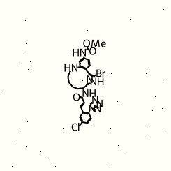 COC(=O)Nc1ccc2c(c1)NCCCCCC(NC(=O)/C=C/c1cc(Cl)ccc1-n1cnnn1)c1nc-2c(Br)[nH]1